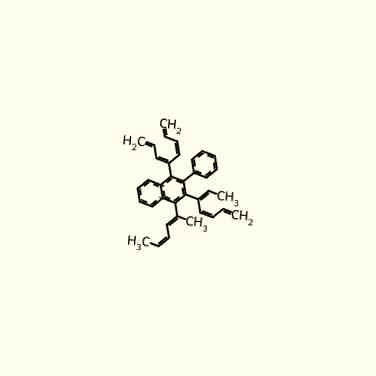 C=C/C=C\C(=C/C)c1c(-c2ccccc2)c(C(/C=C\C=C)=C/C=C)c2ccccc2c1/C(C)=C/C=C\C